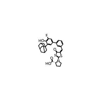 O=C1N=C(N2CCC[C@@H]2C(=O)O)SC1=Cc1cccc(-c2cc(F)c(O)c(C34CC5CC(CC(C5)C3)C4)c2)c1